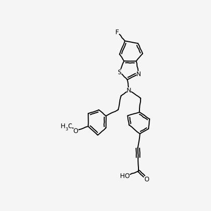 COc1ccc(CCN(Cc2ccc(C#CC(=O)O)cc2)c2nc3ccc(F)cc3s2)cc1